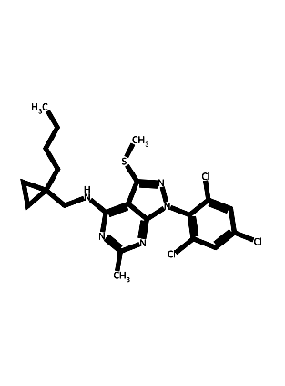 CCCCC1(CNc2nc(C)nc3c2c(SC)nn3-c2c(Cl)cc(Cl)cc2Cl)CC1